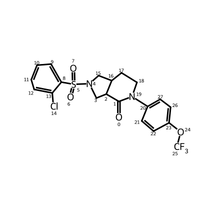 O=C1C2CN(S(=O)(=O)c3ccccc3Cl)CC2CCN1c1ccc(OC(F)(F)F)cc1